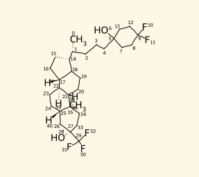 C[C@H](CCCC1(O)CCC(F)(F)CC1)[C@H]1CC[C@@H]2C1CC[C@H]1[C@H]2CC[C@H]2C[C@](O)(C(F)(F)F)CC[C@@]21C